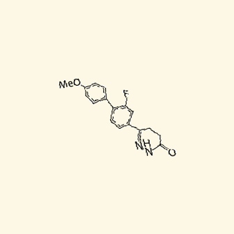 COc1ccc(-c2ccc(C3=NNC(=O)CC3)cc2F)cc1